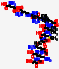 CC(C)C[C@H](N)C(=O)O.CC(C)[C@H](N)C(=O)O.CSCC[C@H](N)C(=O)O.C[C@H](N)C(=O)O.N=C(N)NCCC[C@H](N)C(=O)O.NC(=O)CC[C@H](N)C(=O)O.NCCCC[C@H](N)C(=O)O.N[C@@H](CCC(=O)O)C(=O)O.N[C@@H](CO)C(=O)O.N[C@@H](Cc1c[nH]cn1)C(=O)O